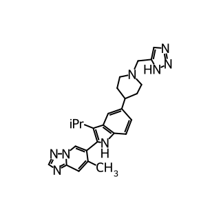 Cc1cc2ncnn2cc1-c1[nH]c2ccc(C3CCN(Cc4cnn[nH]4)CC3)cc2c1C(C)C